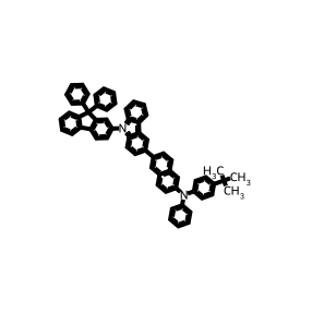 CC(C)(C)c1ccc(N(c2ccccc2)c2ccc3cc(-c4ccc5c(c4)c4ccccc4n5-c4ccc5c(c4)C(c4ccccc4)(c4ccccc4)c4ccccc4-5)ccc3c2)cc1